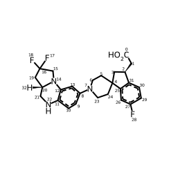 O=C(O)C[C@@H]1CC2(CCN(c3ccc4c(c3)N3CC(F)(F)C[C@H]3CN4)CC2)c2cc(F)ccc21